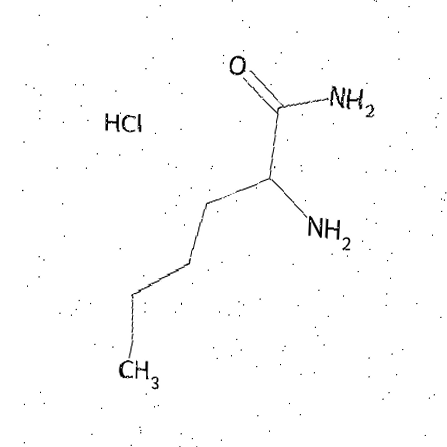 CCCCC(N)C(N)=O.Cl